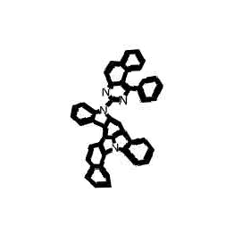 c1ccc(-c2nc(-n3c4ccccc4c4c5c6ccc7ccccc7c6n6c7ccccc7c(cc43)c56)nc3ccc4ccccc4c23)cc1